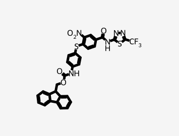 O=C(Nc1ccc(Sc2ccc(C(=O)Nc3nnc(C(F)(F)F)s3)cc2[N+](=O)[O-])cc1)OCC1c2ccccc2-c2ccccc21